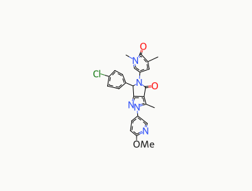 COc1ccc(-n2nc3c(c2C)C(=O)N(c2cc(C)c(=O)n(C)c2)C3c2ccc(Cl)cc2)cn1